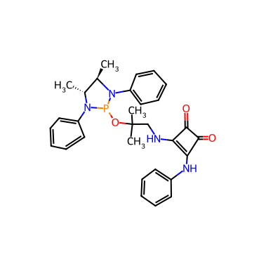 C[C@@H]1[C@@H](C)N(c2ccccc2)P(OC(C)(C)CNc2c(Nc3ccccc3)c(=O)c2=O)N1c1ccccc1